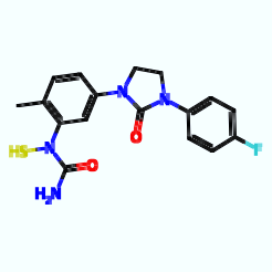 Cc1ccc(N2CCN(c3ccc(F)cc3)C2=O)cc1N(S)C(N)=O